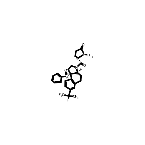 CN1C(=O)CC[C@H]1C(=O)N1CC[C@]2(S(=O)(=O)c3ccccc3)c3ccc(C(F)(C(F)(F)F)C(F)(F)F)cc3CC[C@H]12